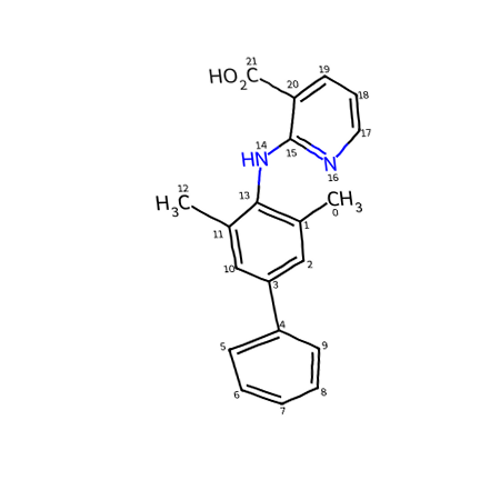 Cc1cc(-c2ccccc2)cc(C)c1Nc1ncccc1C(=O)O